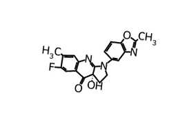 Cc1nc2cc(N3CC[C@@]4(O)C(=O)c5cc(F)c(C)cc5N=C34)ccc2o1